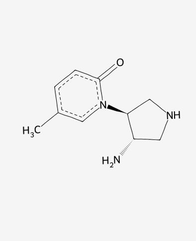 Cc1ccc(=O)n([C@H]2CNC[C@@H]2N)c1